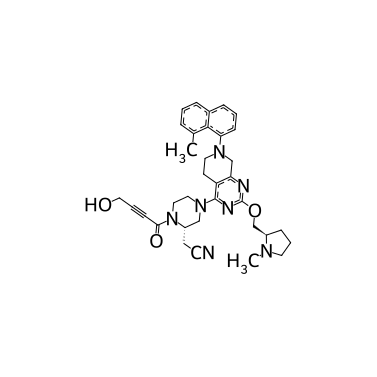 Cc1cccc2cccc(N3CCc4c(nc(OC[C@H]5CCCN5C)nc4N4CCN(C(=O)C#CCO)[C@@H](CC#N)C4)C3)c12